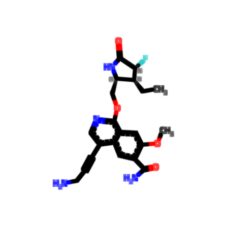 CC[C@@H]1[C@H](F)C(=O)N[C@@H]1COc1ncc(C#CCN)c2cc(C(N)=O)c(OC)cc12